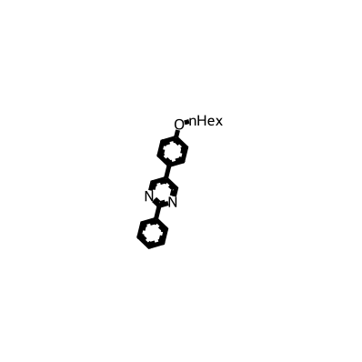 CCCCCCOc1ccc(-c2cnc(-c3ccccc3)nc2)cc1